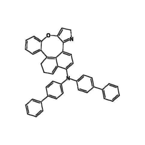 C1=C2Oc3ccccc3C3=c4c(ccc(N(c5ccc(-c6ccccc6)cc5)c5ccc(-c6ccccc6)cc5)c4=CCC3)C2=NC1